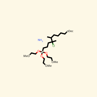 CCCCCCCCCCCCCCC(C)C(C)(Cl)CCC[Si](OCCOC)(OCCOC)OCCOC.N